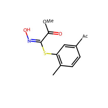 COC(=O)/C(=N\O)Sc1cc(C(C)=O)ccc1C